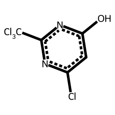 Oc1cc(Cl)nc(C(Cl)(Cl)Cl)n1